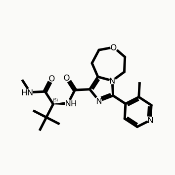 CNC(=O)[C@@H](NC(=O)c1nc(-c2ccncc2C)n2c1CCOCC2)C(C)(C)C